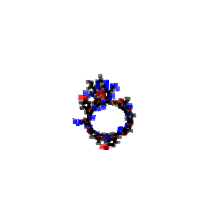 CC[C@H](C)[C@H](NC(=O)[C@H](CC(C)C)NC(=O)[C@@H](CN)NC(=O)[C@@H]1CSSC[C@H](NC(C)=O)C(=O)N2CCC[C@H]2C(=O)N2CCC[C@H]2C(=O)N[C@@H](Cc2ccc(O)cc2)C(=O)N[C@@H](CC(C)C)C(=O)N2CCC[C@H]2C(=O)N[C@@H](CCN)C(=O)N[C@@H](Cc2ccc(O)cc2)C(=O)N[C@@H](CC(C)C)C(=O)N1)C(N)=O